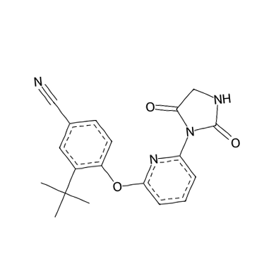 CC(C)(C)c1cc(C#N)ccc1Oc1cccc(N2C(=O)CNC2=O)n1